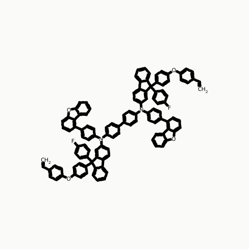 C=Cc1ccc(Oc2ccc(C3(c4ccc(F)cc4)c4ccccc4-c4ccc(N(c5ccc(-c6ccc(N(c7ccc(-c8cccc9oc%10ccccc%10c89)cc7)c7ccc8c(c7)C(c7ccc(F)cc7)(c7ccc(Oc9ccc(C=C)cc9)cc7)c7ccccc7-8)cc6)cc5)c5ccc(-c6cccc7oc8ccccc8c67)cc5)cc43)cc2)cc1